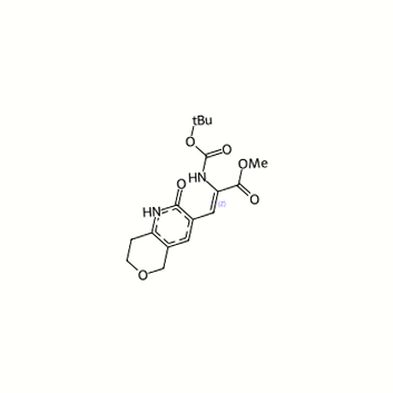 COC(=O)/C(=C/c1cc2c([nH]c1=O)CCOC2)NC(=O)OC(C)(C)C